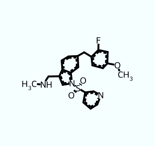 CNCc1cn(S(=O)(=O)c2cccnc2)c2cc(Cc3ccc(OC)cc3F)ccc12